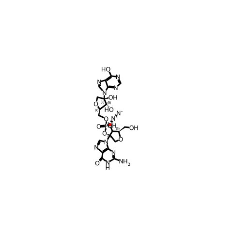 [N-]=[N+]=NC1[C@@H](CO)OC[C@@]1(OP(=O)(O)OC[C@H]1OC[C@](O)(n2cnc3c(O)ncnc32)[C@@H]1O)n1cnc2c(=O)[nH]c(N)nc21